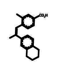 C/C(=C/c1ccc(C(=O)O)cc1C)c1ccc2c(c1)CCCC2